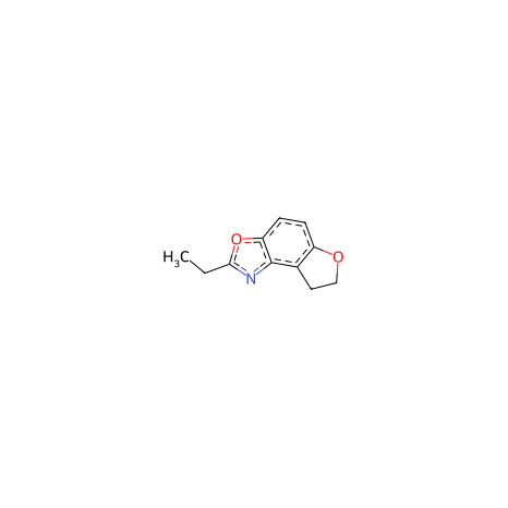 CCc1nc2c3c(ccc2o1)OCC3